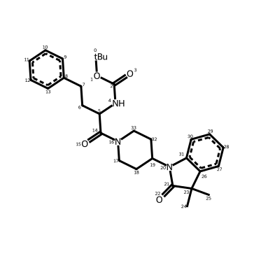 CC(C)(C)OC(=O)NC(CCc1ccccc1)C(=O)N1CCC(N2C(=O)C(C)(C)c3ccccc32)CC1